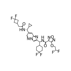 O=C(CC1CC(F)(F)C1)N[C@@H](c1cnn2cc(C(NC(=O)c3nonc3OCC(F)F)C3CCC(F)(F)CC3)nc2c1)C1CC1